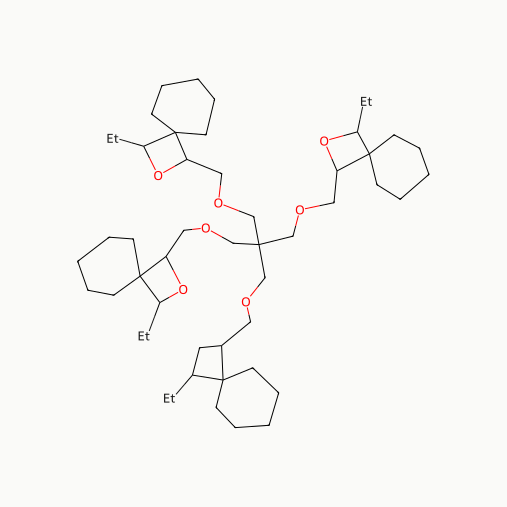 CCC1CC(COCC(COCC2OC(CC)C23CCCCC3)(COCC2OC(CC)C23CCCCC3)COCC2OC(CC)C23CCCCC3)C12CCCCC2